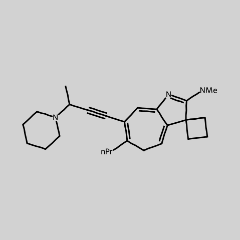 CCCC1=C(C#CC(C)N2CCCCC2)C=C2N=C(NC)C3(CCC3)C2=CC1